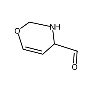 O=CC1C=COCN1